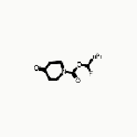 CCCC(F)OC(=O)N1CCC(=O)CC1